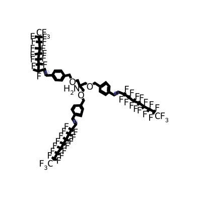 CC(F)(/C=C/c1ccc(COCC(N)(COCc2ccc(/C=C/C(F)(F)C(F)(F)C(F)(F)C(F)(F)C(F)(F)C(F)(F)C(F)(F)C(F)(F)F)cc2)COCc2ccc(/C=C/C(F)(F)C(F)(F)C(F)(F)C(F)(F)C(F)(F)C(F)(F)C(F)(F)C(F)(F)F)cc2)cc1)C(F)(F)C(F)(F)C(F)(F)C(F)(F)C(F)(F)C(F)(F)C(F)(F)F